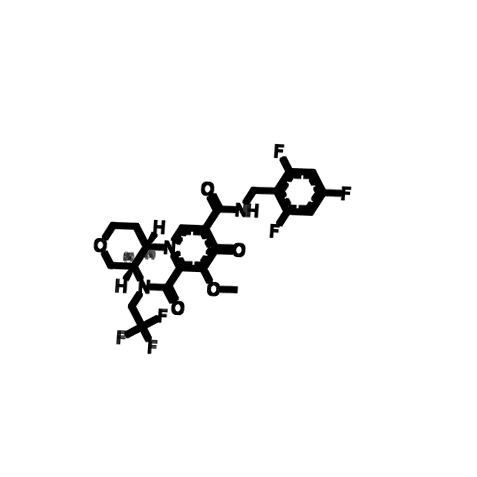 COc1c2n(cc(C(=O)NCc3c(F)cc(F)cc3F)c1=O)[C@H]1CCOC[C@H]1N(CC(F)(F)F)C2=O